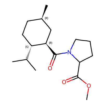 COC(=O)C1CCCN1C(=O)[C@@H]1C[C@H](C)CC[C@H]1C(C)C